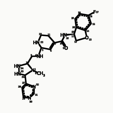 CN1C(CNC2C=C(C(=O)N[C@@H]3COc4cc(F)ccc43)CCN2)NNC1c1ccncn1